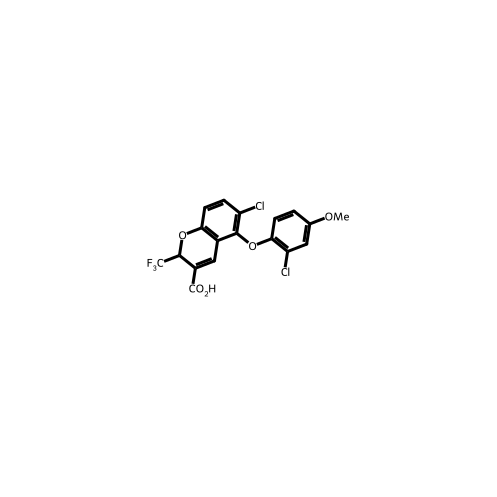 COc1ccc(Oc2c(Cl)ccc3c2C=C(C(=O)O)C(C(F)(F)F)O3)c(Cl)c1